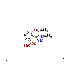 CC(=O)c1c(-c2ccccc2C(=O)O)cnn1C